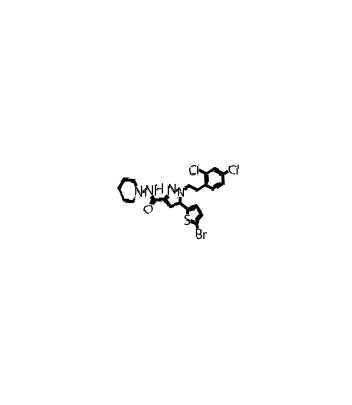 O=C(NN1CCCCC1)C1=NN(CCc2ccc(Cl)cc2Cl)C(c2ccc(Br)s2)C1